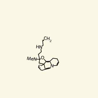 C=CCNCCC1(NC)CC23CCCCC2=CN2C=CCCC2=C3O1